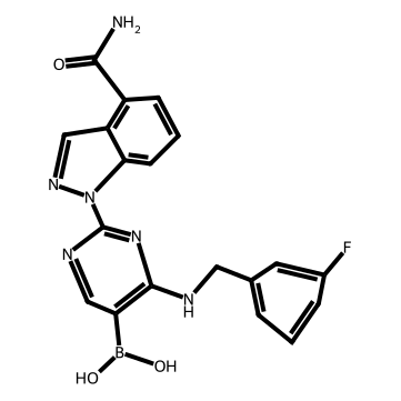 NC(=O)c1cccc2c1cnn2-c1ncc(B(O)O)c(NCc2cccc(F)c2)n1